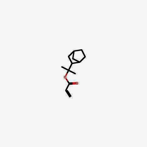 C=CC(=O)OC(C)(C)C1CC2CCC1C2